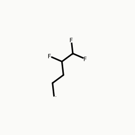 [CH2]CCC(F)[C](F)F